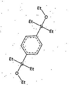 CCO[Si](CC)(CC)c1ccc([Si](CC)(CC)OCC)cc1